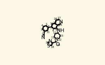 N#Cc1cccc(-c2cc(NC3CCN(C(=O)c4cscn4)CC3)c3cnccc3c2)c1